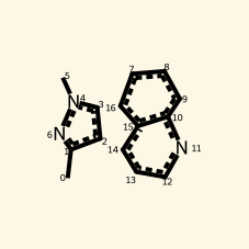 Cc1ccn(C)n1.c1ccc2ncccc2c1